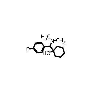 CN(C)C(c1ccc(F)cc1)C1(O)CCCCC1